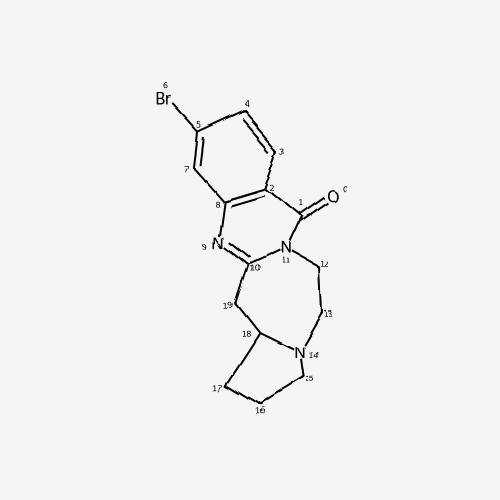 O=c1c2ccc(Br)cc2nc2n1CCN1CCCC1C2